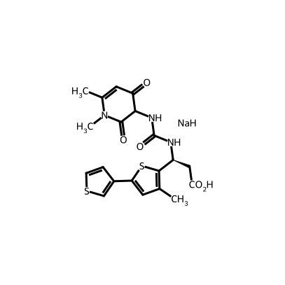 CC1=CC(=O)C(NC(=O)N[C@@H](CC(=O)O)c2sc(-c3ccsc3)cc2C)C(=O)N1C.[NaH]